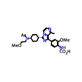 COCCN(C(C)=O)[C@H]1CC[C@H](c2nc(-c3ccc(NC(=O)O)c(OC)c3)c3c(C)nccn32)CC1